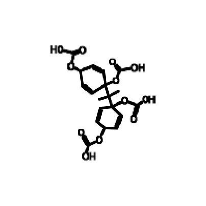 CC(C)(C1(OC(=O)O)C=CC(OC(=O)O)C=C1)C1(OC(=O)O)C=CC(OC(=O)O)C=C1